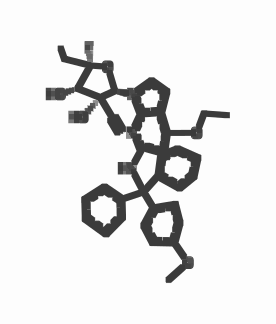 C#C[C@]1(O)[C@H](n2ccc3c(OCC)nc(NC(c4ccccc4)(c4ccccc4)c4ccc(OC)cc4)nc32)O[C@](F)(CC)[C@H]1O